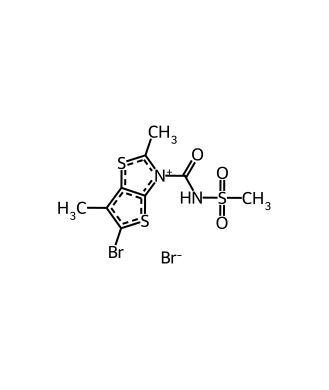 Cc1c(Br)sc2c1sc(C)[n+]2C(=O)NS(C)(=O)=O.[Br-]